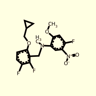 COc1cc(F)c([N+](=O)[O-])cc1N(C)Cc1c(OCC2CC2)ccc(F)c1F